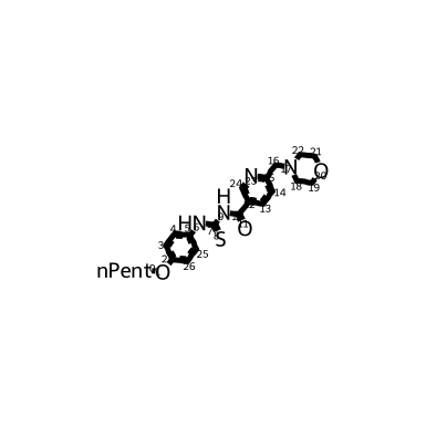 CCCCCOc1ccc(NC(=S)NC(=O)c2ccc(CN3CCOCC3)nc2)cc1